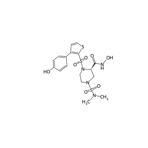 CN(C)S(=O)(=O)N1CCN(S(=O)(=O)c2sccc2-c2ccc(O)cc2)[C@@H](C(=O)NO)C1